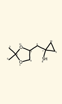 CC1(C)OCC(CC2(S)CC2)O1